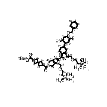 CCc1cc(OCc2ccccc2)c(F)cc1-c1ccc2c(-c3nc4c(n3COCC[Si](C)(C)C)CN(C(=O)C3CC5(C3)CN(C(=O)OC(C)(C)C)C5)C4)nn(COCC[Si](C)(C)C)c2c1